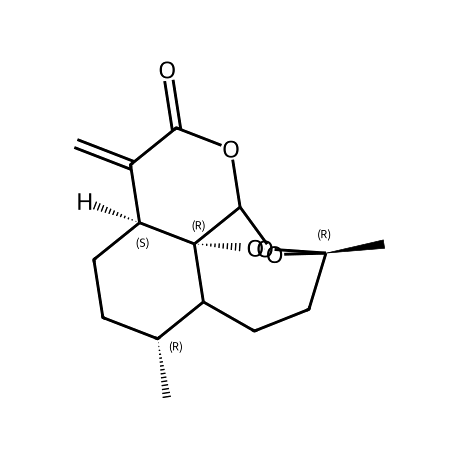 C=C1C(=O)OC2O[C@@]3(C)CCC4[C@H](C)CC[C@@H]1[C@@]24OO3